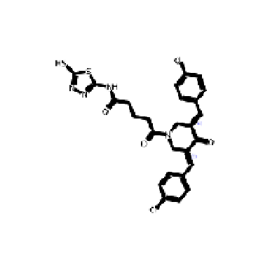 O=C(CCCC(=O)N1C/C(=C\c2ccc(Cl)cc2)C(=O)/C(=C/c2ccc(Cl)cc2)C1)Nc1nnc(S)s1